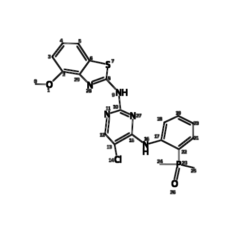 COc1cccc2sc(Nc3ncc(Cl)c(Nc4ccccc4P(C)(C)=O)n3)nc12